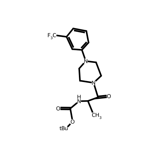 CC(NC(=O)OC(C)(C)C)C(=O)N1CCN(c2cccc(C(F)(F)F)c2)CC1